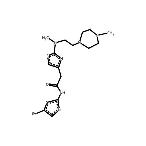 CC(C)c1cnc(NC(=O)Cc2csc(N(C)CCN3CCN(C)CC3)n2)s1